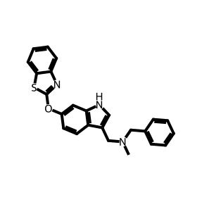 CN(Cc1ccccc1)Cc1c[nH]c2cc(Oc3nc4ccccc4s3)ccc12